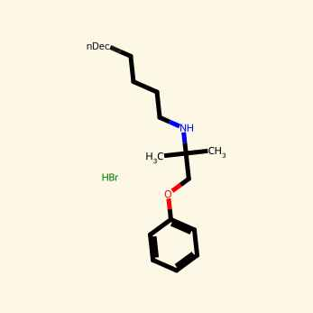 Br.CCCCCCCCCCCCCCNC(C)(C)COc1ccccc1